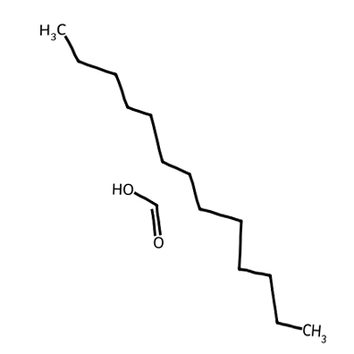 CCCCCCCCCCCCC.O=CO